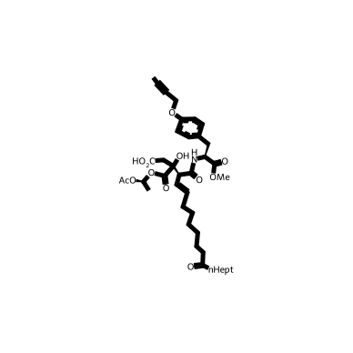 CC#CCOc1ccc(C[C@H](NC(=O)[C@@H](/C=C/CCCCCCC(=O)CCCCCCC)C(O)(CC(=O)O)C(=O)O[C@@H](C)OC(C)=O)C(=O)OC)cc1